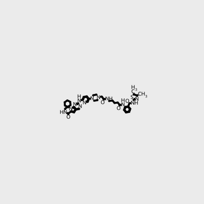 CC1N=C(NC(=O)c2ccccc2NC(=O)CCCCNC(=O)CN2CCN(c3ccc(Nc4ncc5cc6n(c5n4)C4(CCCCC4)CNC6=O)nc3)CC2)SC1C